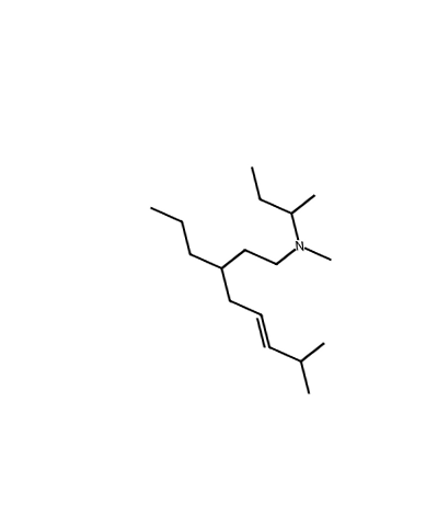 CCCC(CC=CC(C)C)CCN(C)C(C)CC